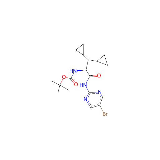 CC(C)(C)OC(=O)N[C@H](C(=O)Nc1ncc(Br)cn1)C(C1CC1)C1CC1